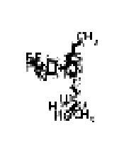 CCCc1cc2c(N3CCn4c(nnc4C(F)(F)F)C3)nc(OCCNC(=O)C(C)(C)O)nc2s1